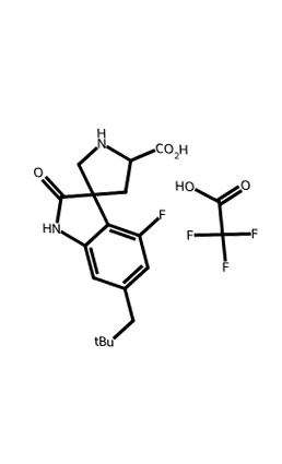 CC(C)(C)Cc1cc(F)c2c(c1)NC(=O)C21CNC(C(=O)O)C1.O=C(O)C(F)(F)F